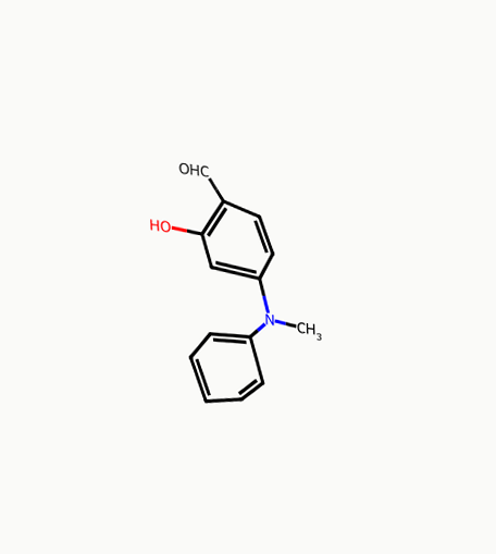 CN(c1ccccc1)c1ccc(C=O)c(O)c1